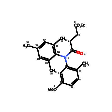 CCOC(=O)CCC(=O)N(c1cc(OC)ccc1C)c1c(C)cc(C)cc1C